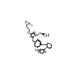 C#CCCn1nc(OCCC)nc1Cc1ccc(-c2ccccc2-c2nnn[nH]2)cc1